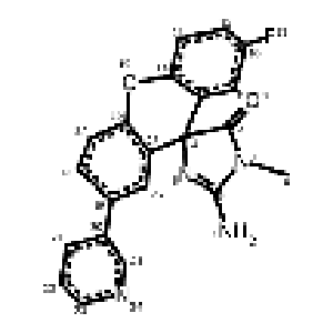 CN1C(=O)C2(N=C1N)c1cc(F)ccc1Oc1ccc(-c3cccnc3)cc12